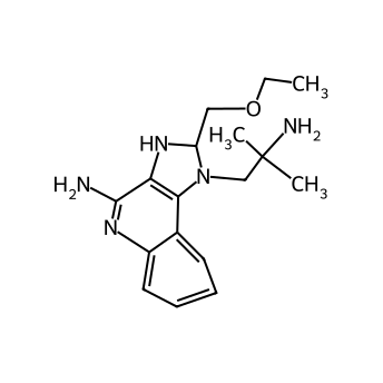 CCOCC1Nc2c(N)nc3ccccc3c2N1CC(C)(C)N